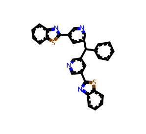 c1ccc(C(c2cncc(-c3nc4ccccc4s3)c2)c2cncc(-c3nc4ccccc4s3)c2)cc1